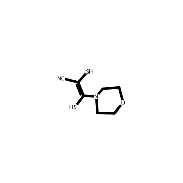 N#CC(S)=C(S)N1CCOCC1